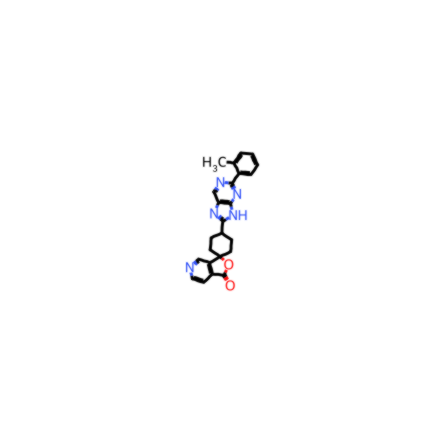 Cc1ccccc1-c1ncc2nc(C3CCC4(CC3)OC(=O)c3ccncc34)[nH]c2n1